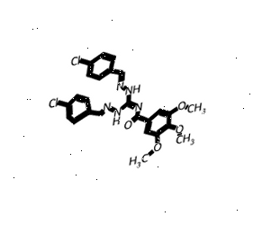 COc1cc(C(=O)N=C(N/N=C/c2ccc(Cl)cc2)N/N=C/c2ccc(Cl)cc2)cc(OC)c1OC